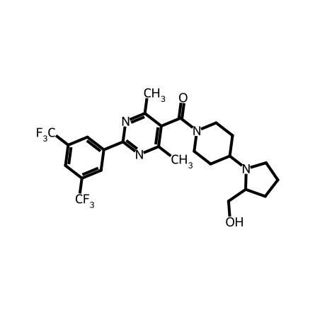 Cc1nc(-c2cc(C(F)(F)F)cc(C(F)(F)F)c2)nc(C)c1C(=O)N1CCC(N2CCCC2CO)CC1